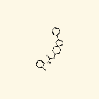 O=C(Nc1ccccc1F)ON1CCC2(CC1)CC(c1ccccc1)=NO2